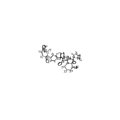 Cc1c(-c2ccc(NC(=O)C(NC(=O)c3ccnn3C)C3CCCC(F)C3)cc2)c(Cl)cc[n+]1[O-]